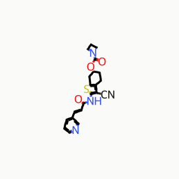 N#Cc1c(NC(=O)/C=C/c2cccnc2)sc2c1CCC(OC(=O)N1CCC1)C2